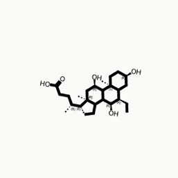 CC[C@@H]1C2C[C@H](O)CC[C@]2(C)C2C(C3CC[C@H]([C@H](C)CCC(=O)O)[C@@]3(C)C[C@H]2O)[C@@H]1O